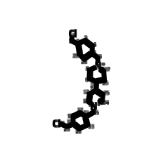 ClCc1ccc(C[n+]2ccc(-c3cc[n+](Cc4ccc(CCl)cc4)cc3)cc2)cc1